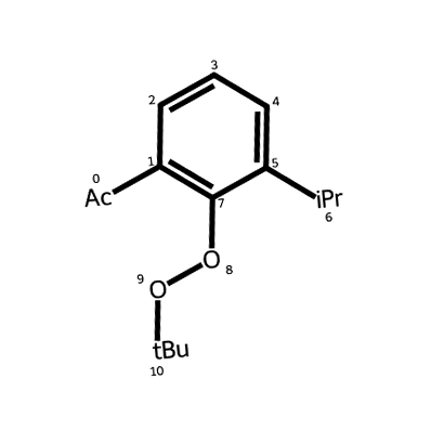 CC(=O)c1cccc(C(C)C)c1OOC(C)(C)C